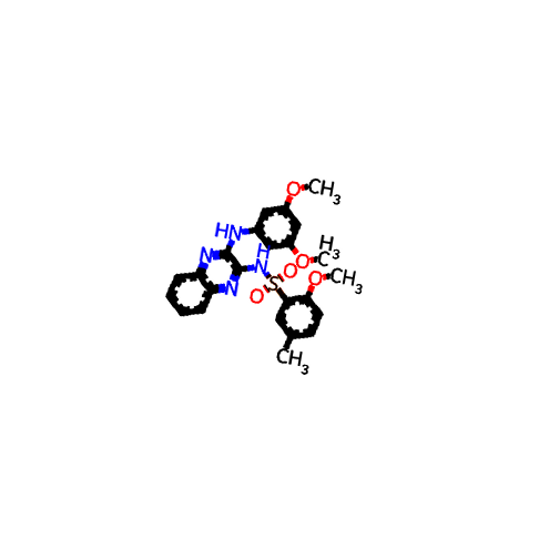 COc1cc(Nc2nc3ccccc3nc2NS(=O)(=O)c2cc(C)ccc2OC)cc(OC)c1